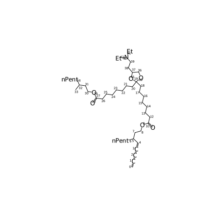 C=C=C=C=CC(CCCCC)CCOC(=O)CCCCCCCC1(CCCCCCCC(=O)OCCC(C)CCCCC)OCC(CCN(CC)CC)O1